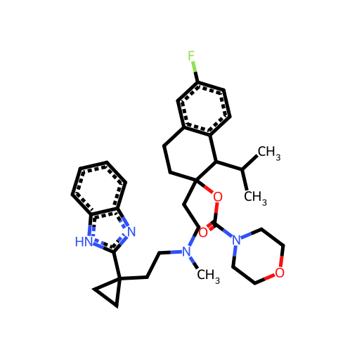 CC(C)C1c2ccc(F)cc2CCC1(CCN(C)CCC1(c2nc3ccccc3[nH]2)CC1)OC(=O)N1CCOCC1